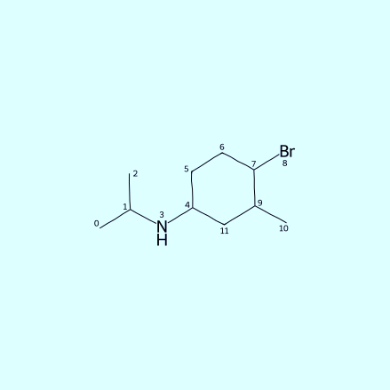 CC(C)NC1CCC(Br)C(C)C1